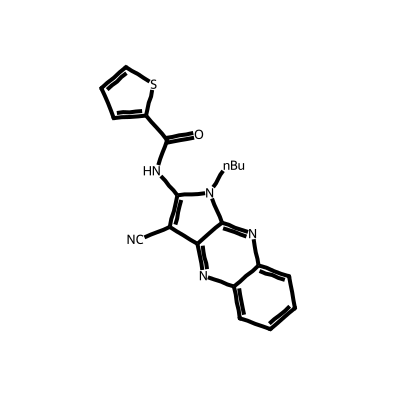 CCCCn1c(NC(=O)c2cccs2)c(C#N)c2nc3ccccc3nc21